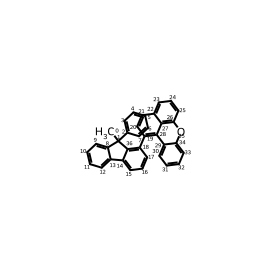 CC1(c2ccccc2)c2ccccc2-c2cccc(-c3ccc4cccc5c4c3-c3ccccc3O5)c21